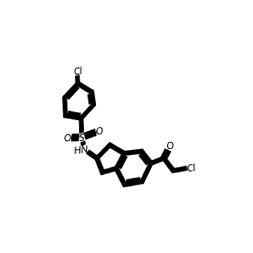 O=C(CCl)c1ccc2c(c1)CC(NS(=O)(=O)c1ccc(Cl)cc1)C2